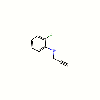 C#CCNc1ccccc1Cl